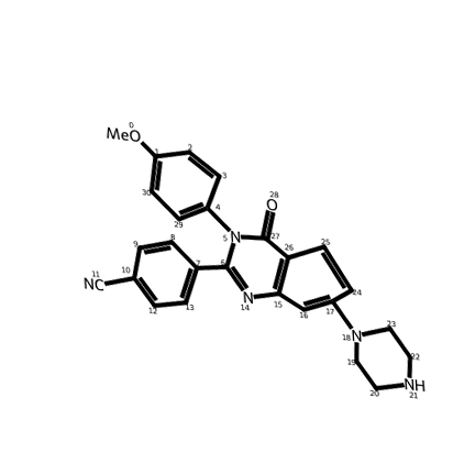 COc1ccc(-n2c(-c3ccc(C#N)cc3)nc3cc(N4CCNCC4)ccc3c2=O)cc1